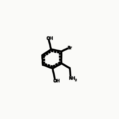 NCc1c(O)ccc(O)c1Br